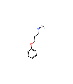 C=NCCCOc1ccccc1